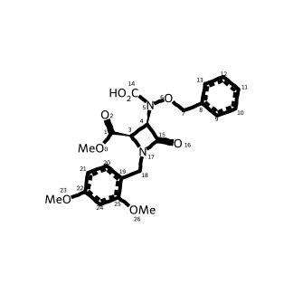 COC(=O)[C@H]1[C@@H](N(OCc2ccccc2)C(=O)O)C(=O)N1Cc1ccc(OC)cc1OC